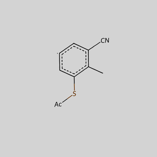 CC(=O)Sc1c[c]cc(C#N)c1C